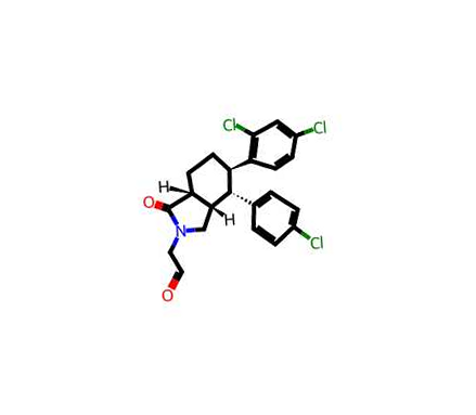 O=CCN1C[C@H]2[C@@H](c3ccc(Cl)cc3)[C@H](c3ccc(Cl)cc3Cl)CC[C@H]2C1=O